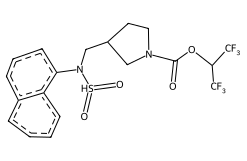 O=C(OC(C(F)(F)F)C(F)(F)F)N1CCC(CN(c2cccc3ccccc23)[SH](=O)=O)C1